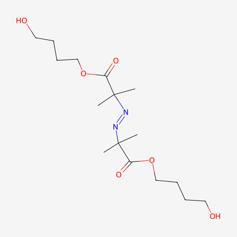 CC(C)(N=NC(C)(C)C(=O)OCCCCO)C(=O)OCCCCO